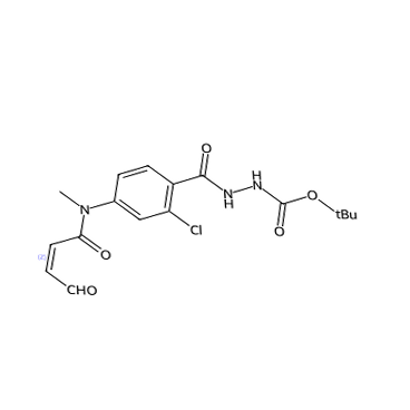 CN(C(=O)/C=C\C=O)c1ccc(C(=O)NNC(=O)OC(C)(C)C)c(Cl)c1